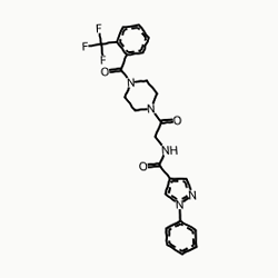 O=C(NCC(=O)N1CCN(C(=O)c2ccccc2C(F)(F)F)CC1)c1cnn(-c2ccccc2)c1